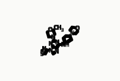 CC1CN(c2nc(Nc3ccc(N4CCOCC4)cc3)c3ncn(-c4cscn4)c3n2)CCO1